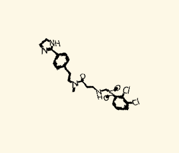 CN(CCc1ccc(C2=NCCN2)cc1)C(=O)CCNCS(=O)(=O)c1cccc(Cl)c1Cl